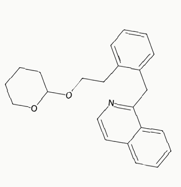 c1ccc(Cc2nccc3ccccc23)c(CCOC2CCCCO2)c1